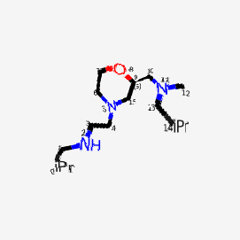 CC(C)CNCCN1CCO[C@@H](CN(C)CC(C)C)C1